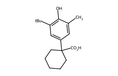 Cc1cc(C2(C(=O)O)CCCCC2)cc(C(C)(C)C)c1O